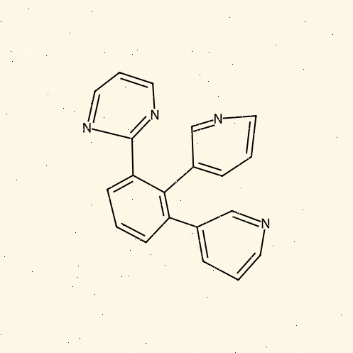 c1cnc(-c2cccc(-c3cccnc3)c2-c2cccnc2)nc1